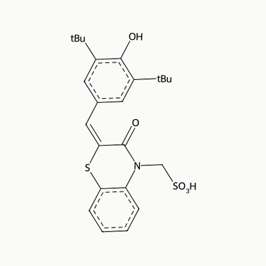 CC(C)(C)c1cc(C=C2Sc3ccccc3N(CS(=O)(=O)O)C2=O)cc(C(C)(C)C)c1O